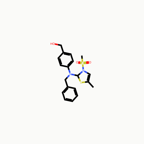 CC1=CN(S(C)(=O)=O)C(N(Cc2ccccc2)c2ccc(CO)cc2)S1